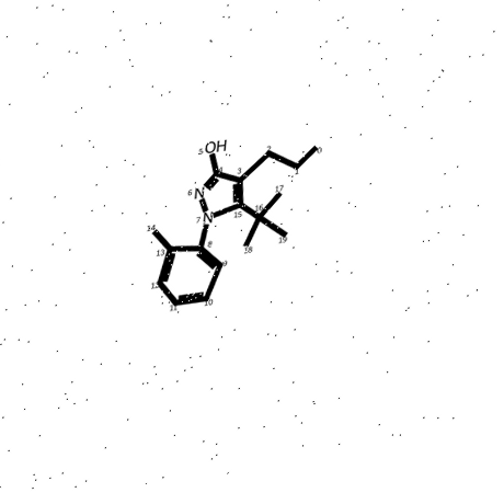 CCCc1c(O)nn(-c2ccccc2C)c1C(C)(C)C